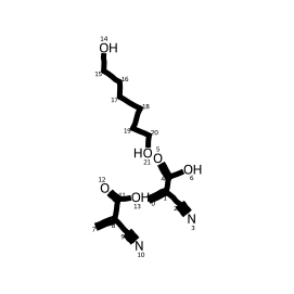 C=C(C#N)C(=O)O.C=C(C#N)C(=O)O.OCCCCCCO